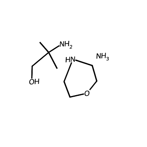 C1COCCN1.CC(C)(N)CO.N